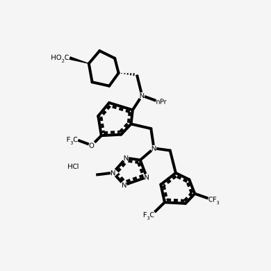 CCCN(C[C@H]1CC[C@H](C(=O)O)CC1)c1ccc(OC(F)(F)F)cc1CN(Cc1cc(C(F)(F)F)cc(C(F)(F)F)c1)c1nnn(C)n1.Cl